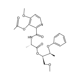 COC[C@@H](OC(=O)[C@H](C)NC(=O)c1nccc(OC)c1OC(C)=O)[C@H](C)Oc1ccccc1